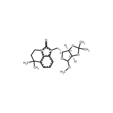 COC1O[C@H](Cn2c(=O)n3c4c(cccc42)C(C)(C)CC3)[C@H]2OC(C)(C)O[C@@H]12